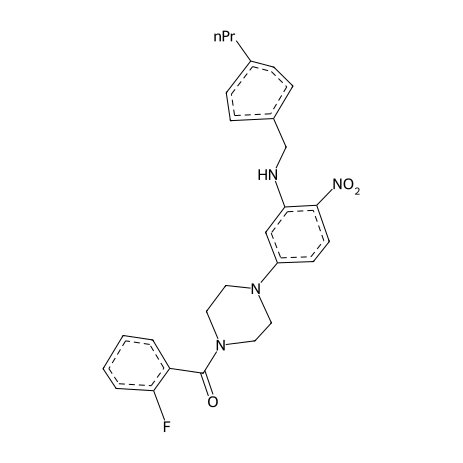 CCCc1ccc(CNc2cc(N3CCN(C(=O)c4ccccc4F)CC3)ccc2[N+](=O)[O-])cc1